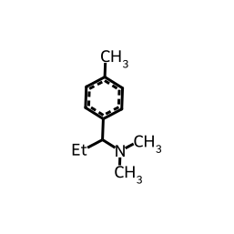 CCC(c1ccc(C)cc1)N(C)C